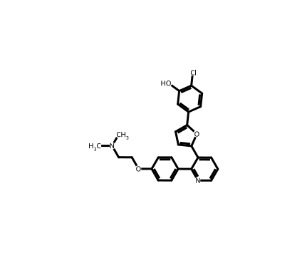 CN(C)CCOc1ccc(-c2ncccc2-c2ccc(-c3ccc(Cl)c(O)c3)o2)cc1